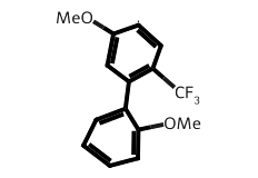 COc1[c]cc(C(F)(F)F)c(-c2ccccc2OC)c1